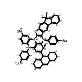 CC(C)(C)c1ccc(N2c3c(sc4cc5c(cc34)-c3ccccc3C5(C)C)B3C4=C(C=C(C5C6CCCCC6CC6CCCCC65)C5C[C@@]452)N(C2=CCC(C(C)(C)C)C=C2)c2ccc(C(C)(C)C)cc23)cc1